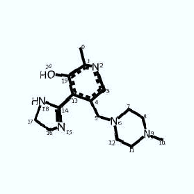 Cc1ncc(CN2CCN(C)CC2)c(C2=NCCN2)c1O